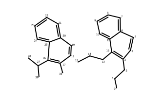 CCCc1ccc2ccccc2c1CCC.Cc1ccc2ccccc2c1C(C)C